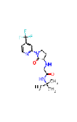 CC(C)(C)NC(=O)CNC1CCN(c2cc(C(F)(F)F)ccn2)C1=O